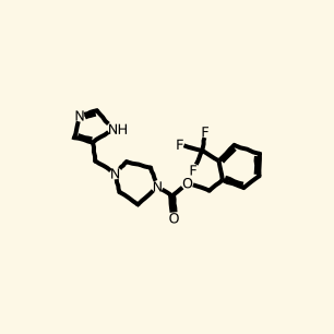 O=C(OCc1ccccc1C(F)(F)F)N1CCN(Cc2cnc[nH]2)CC1